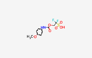 COc1ccc(NC(=O)OCC(F)(F)S(=O)(=O)O)cc1